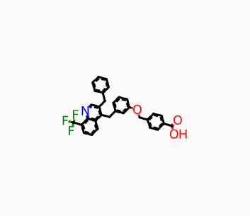 O=C(O)c1ccc(COc2cccc(Cc3c(Cc4ccccc4)cnc4c(C(F)(F)F)cccc34)c2)cc1